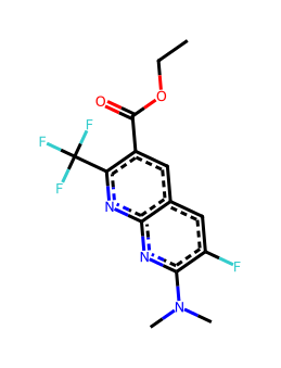 CCOC(=O)c1cc2cc(F)c(N(C)C)nc2nc1C(F)(F)F